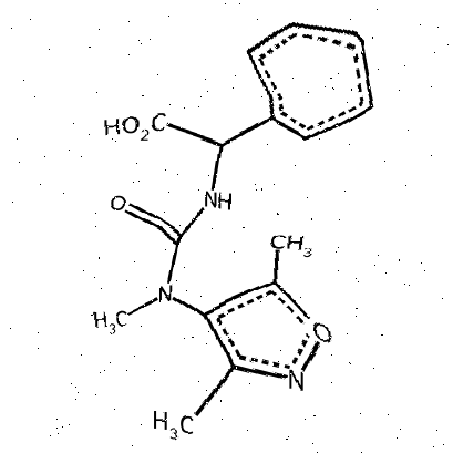 Cc1noc(C)c1N(C)C(=O)NC(C(=O)O)c1ccccc1